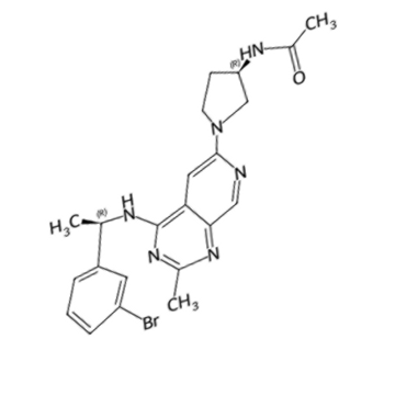 CC(=O)N[C@@H]1CCN(c2cc3c(N[C@H](C)c4cccc(Br)c4)nc(C)nc3cn2)C1